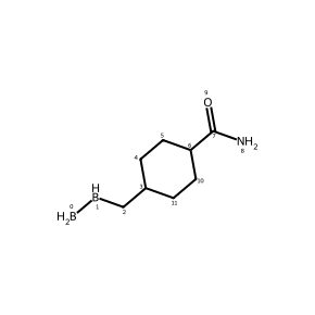 BBCC1CCC(C(N)=O)CC1